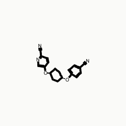 N#Cc1ccc(O[C@H]2CC[C@H](Oc3ccc(C#N)nc3)CC2)cc1